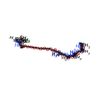 Cc1sc2c(c1C)C(c1ccc(Cl)cc1)=N[C@@H](CC(=O)Nc1cccc(OCCOCCOCCOCCOCCOCCOCCOCCOCCNC(=O)CCNC(=O)c3nc(NC(=O)CCNC(=O)c4cc(NC(=O)c5nc(NC(=O)CCNC(=O)c6cc(NC(=O)c7nccn7C)cn6C)cn5C)cn4C)cn3C)c1)c1nnc(C)n1-2